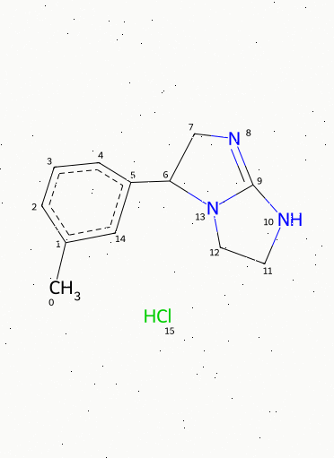 Cc1cccc(C2CN=C3NCCN32)c1.Cl